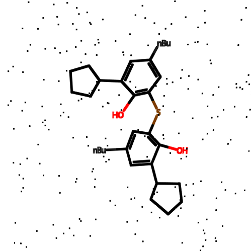 CCCCc1cc(Sc2cc(CCCC)cc(C3CCCC3)c2O)c(O)c(C2CCCC2)c1